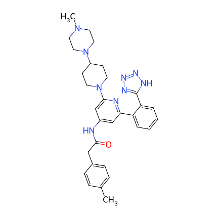 Cc1ccc(CC(=O)Nc2cc(-c3ccccc3-c3nnn[nH]3)nc(N3CCC(N4CCN(C)CC4)CC3)c2)cc1